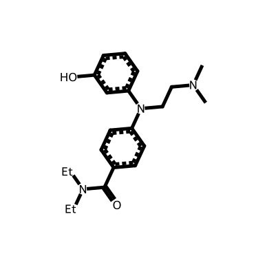 CCN(CC)C(=O)c1ccc(N(CCN(C)C)c2cccc(O)c2)cc1